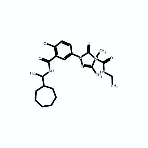 CCNC(=O)[N+]1(C)C(=O)N(c2ccc(Cl)c(C(=O)NC(O)C3CCCCCC3)c2)N=C1C